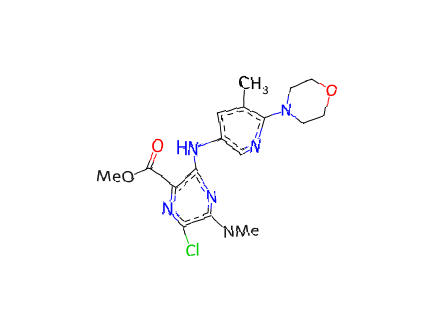 CNc1nc(Nc2cnc(N3CCOCC3)c(C)c2)c(C(=O)OC)nc1Cl